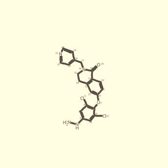 NNc1cc(Cl)c(Oc2ccc3c(c2)CCN(Cc2ccncc2)C3=O)c(Cl)c1